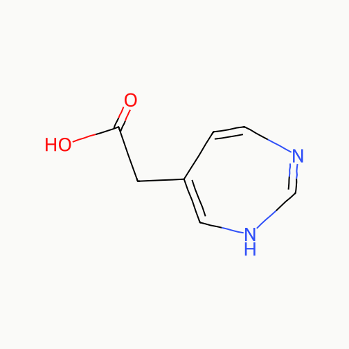 O=C(O)CC1=CNC=NC=C1